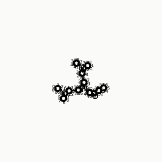 c1ccc(-n2c3ccccc3c3cc(-c4ccc5c(c4)c4cc(-c6ccc7c(c6)c6ccccc6n7-c6ccccc6)ccc4n5-c4ccc5oc6cc7ccccc7cc6c5c4)ccc32)cc1